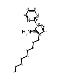 CCCCCCCCCc1cnn(-c2ncccn2)c1N